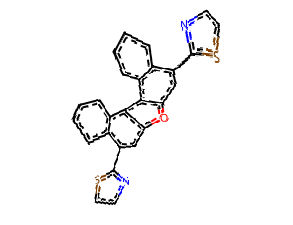 c1ccc2c(c1)c(-c1nccs1)cc1oc3cc(-c4nccs4)c4ccccc4c3c12